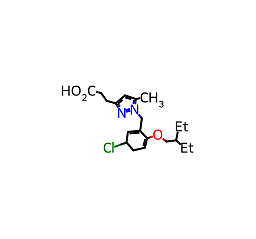 CCC(CC)COC1=CCC(Cl)C=C1Cn1nc(CCC(=O)O)cc1C